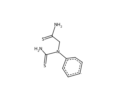 NC(=S)CN(C(N)=S)c1cc[c]cc1